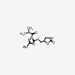 CN(C)C(=O)n1nc(C(C)(C)C)nc1SCC1CNC(=O)O1